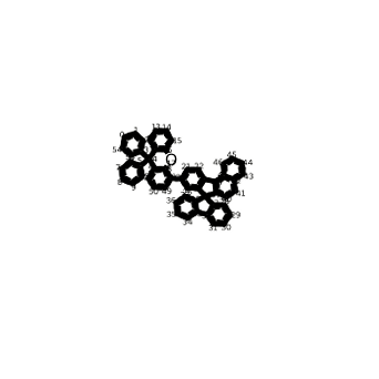 c1ccc(C2(c3ccccc3)c3ccccc3Oc3c(-c4ccc5c(c4)C4(c6ccccc6-c6ccccc64)c4ccc6ccccc6c4-5)cccc32)cc1